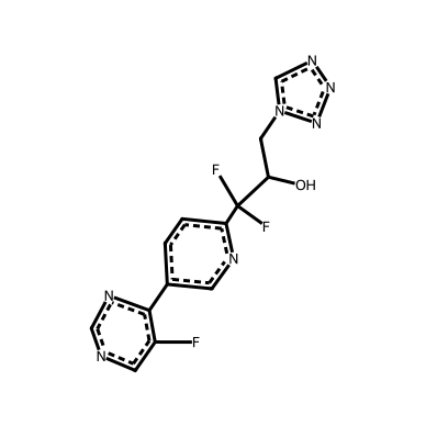 OC(Cn1cnnn1)C(F)(F)c1ccc(-c2ncncc2F)cn1